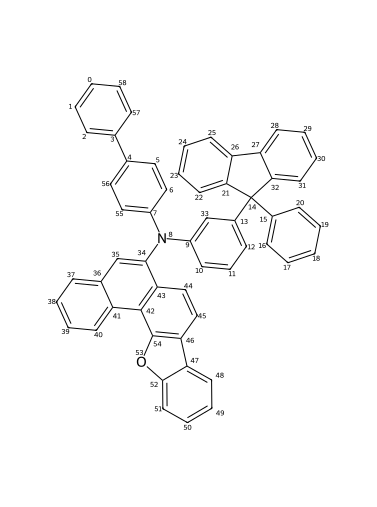 c1ccc(-c2ccc(N(c3cccc(C4(c5ccccc5)c5ccccc5-c5ccccc54)c3)c3cc4ccccc4c4c3ccc3c5ccccc5oc34)cc2)cc1